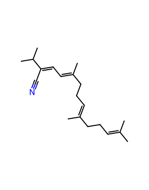 CC(C)=CCCC(C)=CCCC(C)=CC=C(C#N)C(C)C